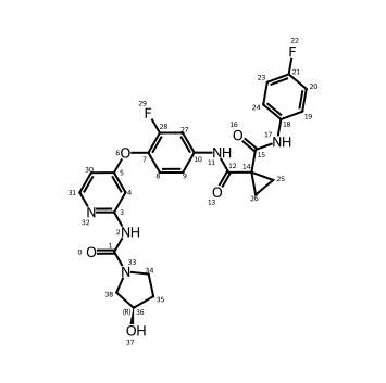 O=C(Nc1cc(Oc2ccc(NC(=O)C3(C(=O)Nc4ccc(F)cc4)CC3)cc2F)ccn1)N1CC[C@@H](O)C1